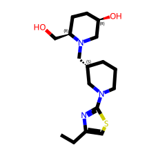 CCc1csc(N2CCC[C@@H](CN3C[C@H](O)CC[C@@H]3CO)C2)n1